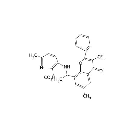 Cc1cc(C(C)Nc2ccc(C)nc2C(=O)O)c2oc(-c3ccccc3)c(C(F)(F)F)c(=O)c2c1